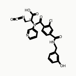 O=C=NC[C@@H](C(=O)O)N(C(=O)c1ccc(C(=O)NCc2cccc(O)c2)cc1Cl)c1cccnc1